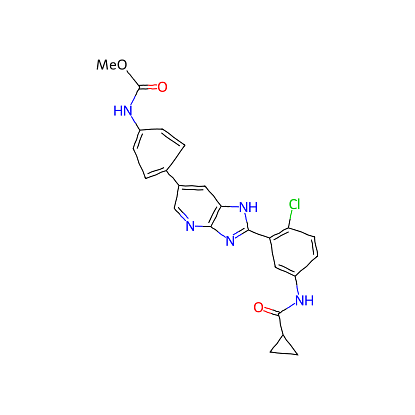 COC(=O)Nc1ccc(-c2cnc3nc(-c4cc(NC(=O)C5CC5)ccc4Cl)[nH]c3c2)cc1